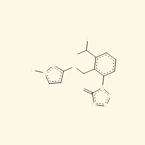 O=c1[nH]nnn1-c1cccc(C(F)F)c1COc1ccn(S)n1